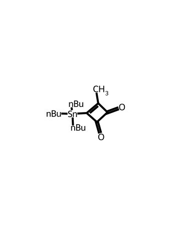 CCC[CH2][Sn]([CH2]CCC)([CH2]CCC)[c]1c(C)c(=O)c1=O